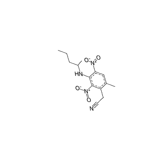 CCCC(C)Nc1c([N+](=O)[O-])cc(C)c(CC#N)c1[N+](=O)[O-]